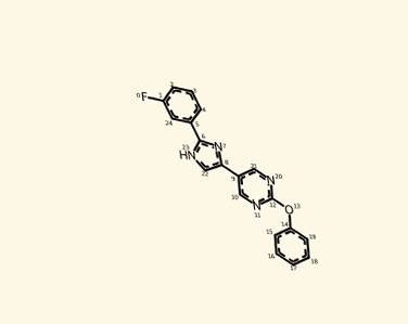 Fc1cccc(-c2nc(-c3cnc(Oc4ccccc4)nc3)c[nH]2)c1